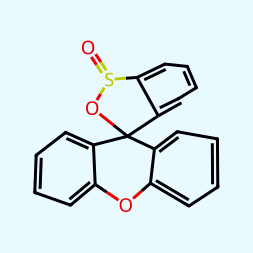 O=S1OC2(c3ccccc3Oc3ccccc32)c2ccccc21